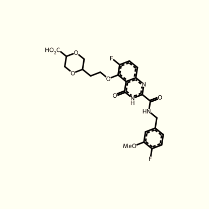 COc1cc(CNC(=O)c2nc3ccc(F)c(OCCC4COC(C(=O)O)CO4)c3c(=O)[nH]2)ccc1F